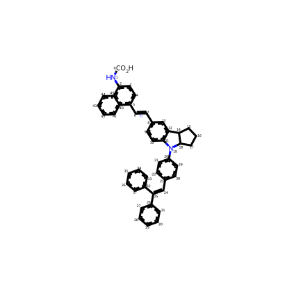 O=C(O)Nc1ccc(/C=C/c2ccc3c(c2)C2CCCC2N3c2ccc(C=C(c3ccccc3)c3ccccc3)cc2)c2ccccc12